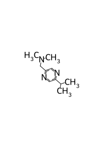 CC(C)c1cnc(CN(C)C)cn1